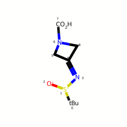 CC(C)(C)[S+]([O-])N=C1CN(C(=O)O)C1